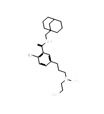 CCCCN(CCO)CCCc1ccc(Cl)c(C(=O)NCC23CCCC(CCC2)C3)c1.[CH2]